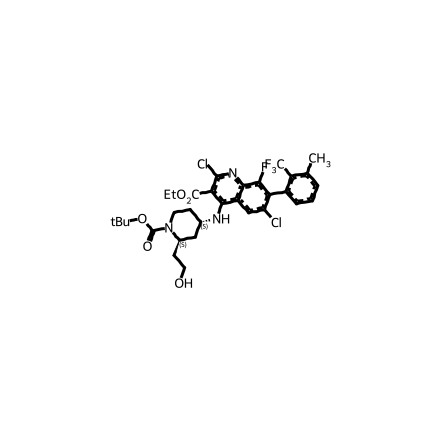 CCOC(=O)c1c(Cl)nc2c(F)c(-c3cccc(C)c3C(F)(F)F)c(Cl)cc2c1N[C@H]1CCN(C(=O)OC(C)(C)C)[C@H](CCO)C1